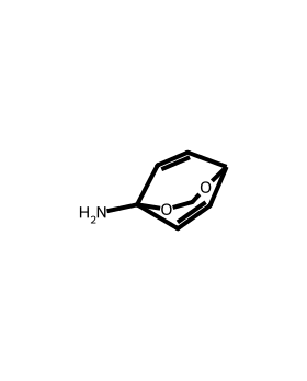 NC12C=CC(C=C1)OCO2